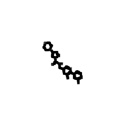 Cc1cc(-c2ncc(CNC(=O)n3cc(N4CCOCC4)cn3)cc2C)ccn1